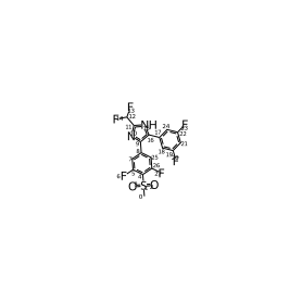 CS(=O)(=O)c1c(F)cc(-c2nc(C(F)F)[nH]c2-c2cc(F)cc(F)c2)cc1F